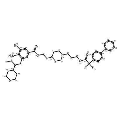 CCN(Cc1cc(C(=O)OCCN2CCN(CCCOC(=O)C(C)(F)c3ccc(-c4ccccc4)cc3)CC2)cc(Br)c1N)C1CCCCC1